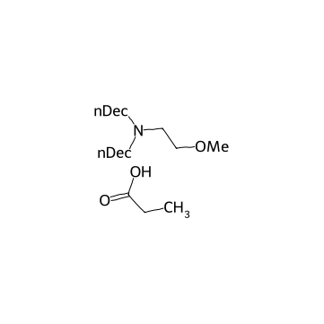 CCC(=O)O.CCCCCCCCCCN(CCCCCCCCCC)CCOC